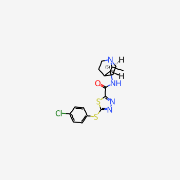 C[C@H]1[C@H](NC(=O)c2nnc(Sc3ccc(Cl)cc3)s2)C2CCN1CC2